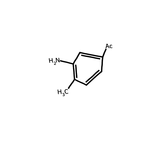 CC(=O)c1ccc(C)c(N)c1